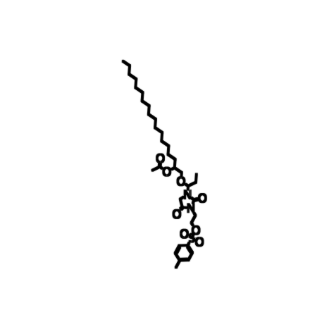 CCCCCCCCCCCCCCCCC(COC(CC)N1CC(=O)N(CCOS(=O)(=O)c2ccc(C)cc2)C1=O)OC(C)=O